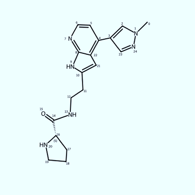 Cn1cc(-c2ccnc3[nH]c(CCNC(=O)[C@@H]4CCCN4)cc23)cn1